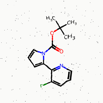 CC(C)(C)OC(=O)n1cccc1-c1ncccc1F